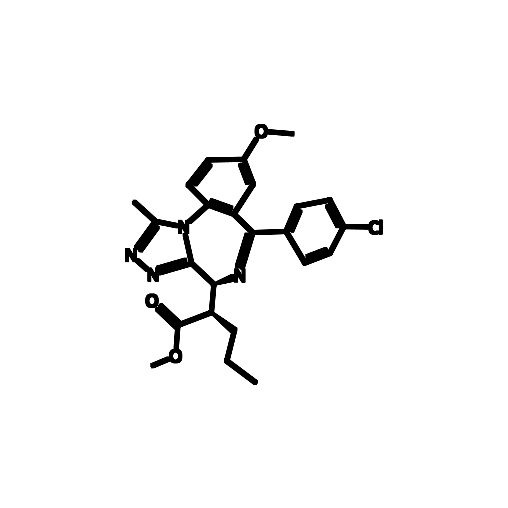 CCC[C@@H](C(=O)OC)[C@@H]1N=C(c2ccc(Cl)cc2)c2cc(OC)ccc2-n2c(C)nnc21